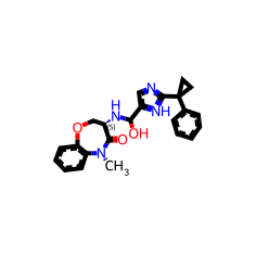 CN1C(=O)[C@@H](NC(O)c2cnc(C3(c4ccccc4)CC3)[nH]2)COc2ccccc21